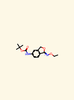 CCO/N=C1\OCc2cc(NC(=O)OC(C)(C)C)ccc21